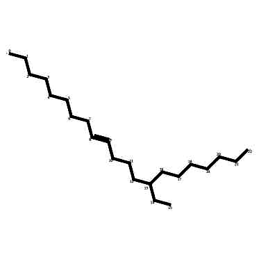 [CH2]CCCCCCCC=CCCCC(CC)CCCCCC[CH2]